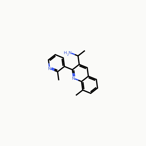 Cc1ncccc1-c1nc2c(C)cccc2cc1C(C)N